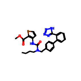 CCCCN(Cc1ccc(-c2ccccc2-c2nnn[nH]2)cc1)C(=O)Nc1ccsc1C(=O)OC